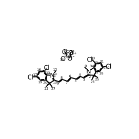 CN1C(=CC=CC=CC=CC2=[N+](C)c3c(Cl)cc(Cl)cc3C2(C)C)C(C)(C)c2cc(Cl)cc(Cl)c21.[O-][Cl+3]([O-])([O-])[O-]